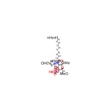 CCCCCC/C=C\CCCCCCCCCC(=O)NC1C(OC)OC(COC)C(OP(=O)(O)O)C1OCCC(C=O)CCCCCCC